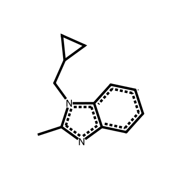 Cc1nc2cc[c]cc2n1CC1CC1